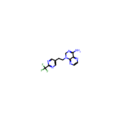 NC1=NCN(CCc2cnc(C(F)(F)F)nc2)c2nccnc21